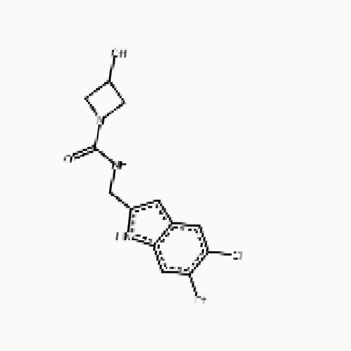 CCc1cc2[nH]c(CNC(=O)N3CC(O)C3)cc2cc1Cl